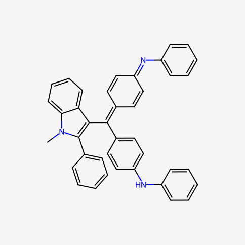 Cn1c(-c2ccccc2)c(C(=C2C=CC(=Nc3ccccc3)C=C2)c2ccc(Nc3ccccc3)cc2)c2ccccc21